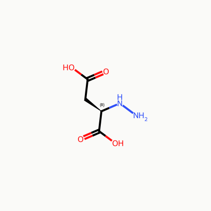 NN[C@H](CC(=O)O)C(=O)O